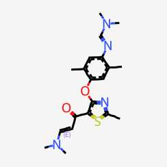 Cc1nc(Oc2cc(C)c(N=CN(C)C)cc2C)c(C(=O)/C=C/N(C)C)s1